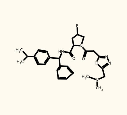 CC(C)c1ccc(C(NC(=O)C2CC(F)CN2C(=O)Cc2nnc(CN(C)C)o2)c2ccccc2)cc1